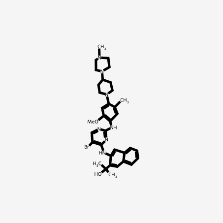 COc1cc(N2CCC(N3CCN(C)CC3)CC2)c(C)cc1Nc1ncc(Br)c(Nc2cc3ccccc3cc2C(C)(C)O)n1